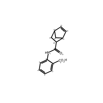 O=C(O)c1ccccc1NC(=O)C1CC2C=CC1C2